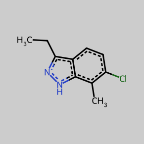 CCc1n[nH]c2c(C)c(Cl)ccc12